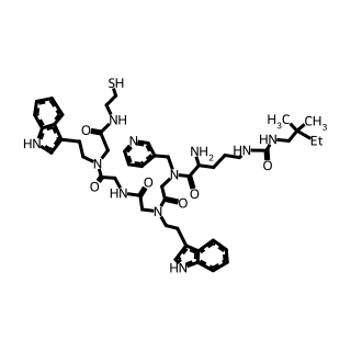 CCC(C)(C)CNC(=O)NCCCC(N)C(=O)N(CC(=O)N(CCc1c[nH]c2ccccc12)CC(=O)NCC(=O)N(CCc1c[nH]c2ccccc12)CC(=O)NCCS)Cc1cccnc1